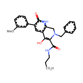 COc1cccc(-c2cc3c([nH]c2=O)CN(Cc2ccccc2)C(C(=O)NCCC(=O)O)=C3O)c1